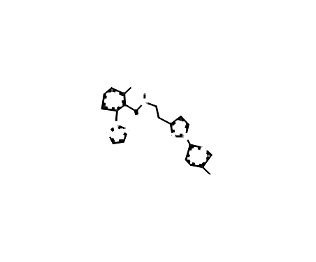 CCN(CCc1ccn(-c2ccc(F)cn2)n1)C(=O)c1c(F)cccc1-n1nccn1